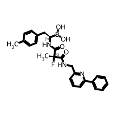 Cc1ccc(C[C@H](NC(=O)[C@@](C)(F)C(=O)NCc2cccc(-c3ccccc3)n2)B(O)O)cc1